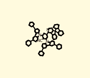 N#Cc1c(-n2c3ccc(-c4ccccc4)cc3c3cc(-c4ccccc4)ccc32)cc(-c2nccc3c2-c2ccccc2C32c3ccccc3-c3ccccc32)cc1-n1c2ccc(-c3ccccc3)cc2c2cc(-c3ccccc3)ccc21